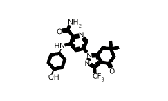 CC1(C)CC(=O)c2c(C(F)(F)F)nn(-c3cnc(C(N)=O)c(N[C@H]4CC[C@H](O)CC4)c3)c2C1